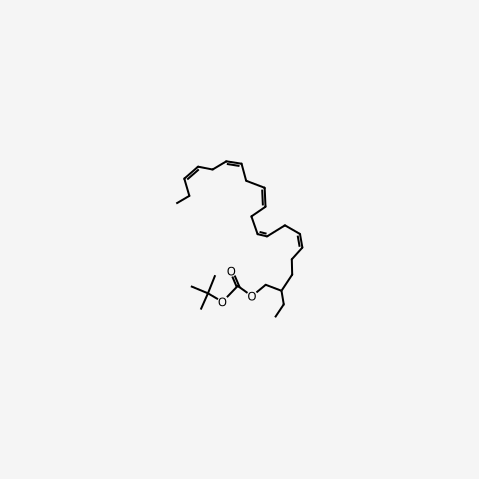 CC/C=C\C/C=C\C/C=C\C/C=C\C/C=C\CCC(CC)COC(=O)OC(C)(C)C